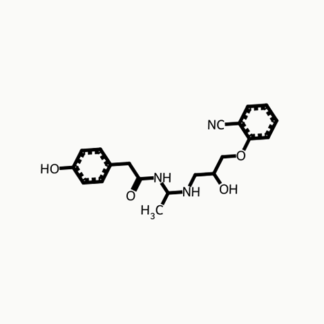 CC(NCC(O)COc1ccccc1C#N)NC(=O)Cc1ccc(O)cc1